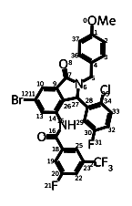 COc1ccc(CN2C(=O)c3cc(Br)cc(NC(=O)c4cc(F)cc(C(F)(F)F)c4)c3C2c2cc(F)ccc2Cl)cc1